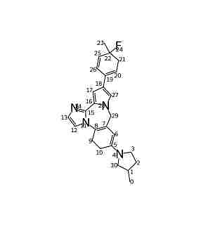 CC1CCN(C2=CC3=C(CC2)n2ccnc2-c2cc(C4=CCC(C)(F)C=C4)cn2C3)C1